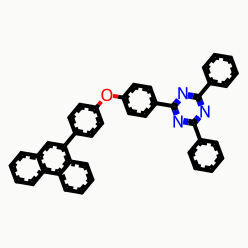 c1ccc(-c2nc(-c3ccccc3)nc(-c3ccc(Oc4ccc(-c5cc6ccccc6c6ccccc56)cc4)cc3)n2)cc1